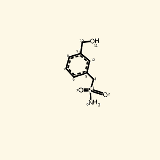 NS(=O)(=O)Cc1cccc(CO)c1